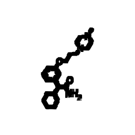 CN1CCN(CCCOc2cccc(C(C(N)=O)C3CCCCC3)c2)CC1